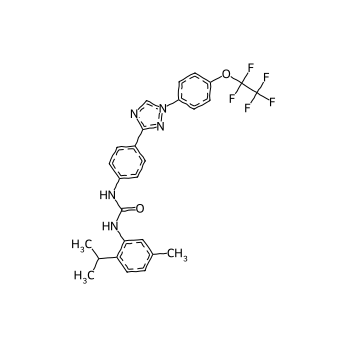 Cc1ccc(C(C)C)c(NC(=O)Nc2ccc(-c3ncn(-c4ccc(OC(F)(F)C(F)(F)F)cc4)n3)cc2)c1